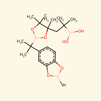 CC(C)B1Oc2ccc(C(C)(C)B3OC(C)(C)C(C)(CC(C)(C)B(O)O)O3)cc2O1